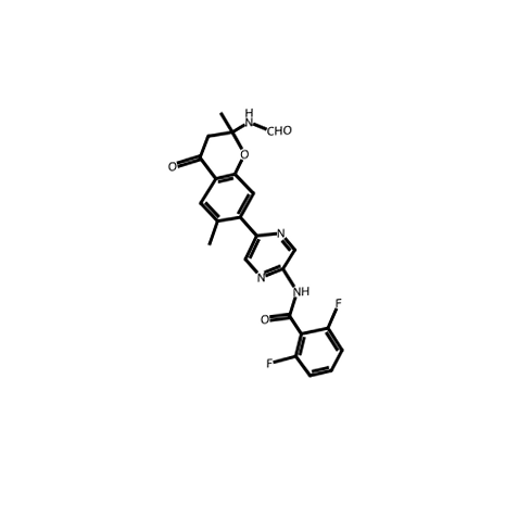 Cc1cc2c(cc1-c1cnc(NC(=O)c3c(F)cccc3F)cn1)OC(C)(NC=O)CC2=O